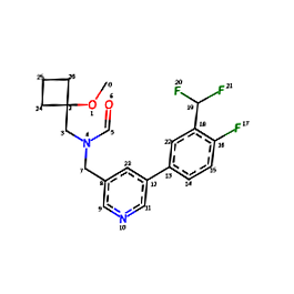 COC1(CN(C=O)Cc2cncc(-c3ccc(F)c(C(F)F)c3)c2)CCC1